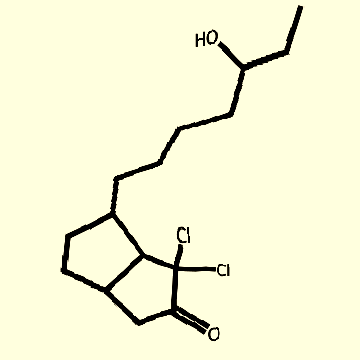 CCC(O)CCCCC1CCC2CC(=O)C(Cl)(Cl)C12